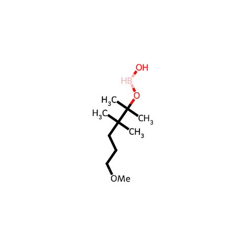 COCCCC(C)(C)C(C)(C)OBO